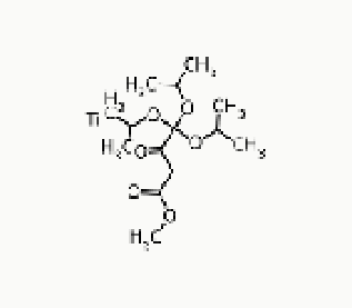 COC(=O)CC(=O)C(OC(C)C)(OC(C)C)OC(C)C.[Ti]